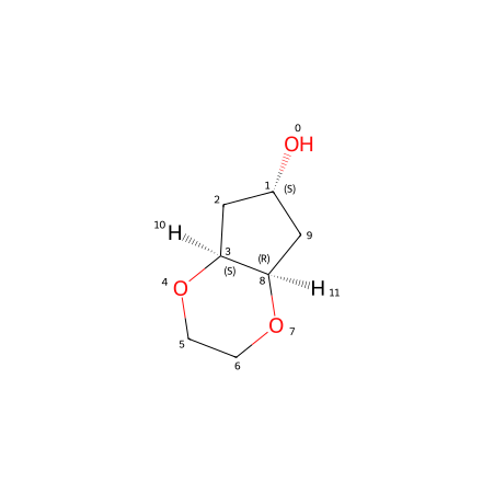 O[C@H]1C[C@@H]2OCCO[C@@H]2C1